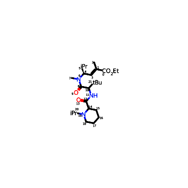 CCOC(=O)/C(C)=C/[C@H](C(C)C)N(C)C(=O)C(NC(=O)C1CCCCN1C(C)C)C(C)(C)C